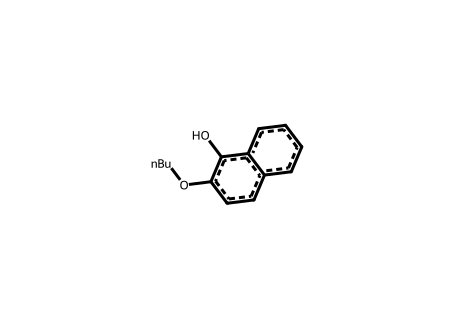 CCCCOc1ccc2ccccc2c1O